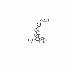 Cc1cc(C)c2oc(-c3ccc(-c4ccc(C(=O)O)cc4)[nH]3)c(F)c2c1C